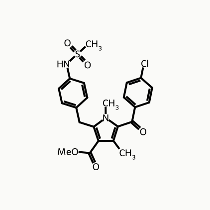 COC(=O)c1c(C)c(C(=O)c2ccc(Cl)cc2)n(C)c1Cc1ccc(NS(C)(=O)=O)cc1